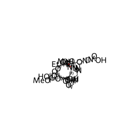 CC[C@H]1OC(=O)[C@H](C)[C@@H](O[C@H]2C[C@@](C)(OC)[C@@H](O)[C@H](C)O2)[C@H](C)[C@@H](O[C@@H]2O[C@H](C)C[C@H](N(C)CCc3cn([C@H](CF)[C@H](OC)c4ccc(N5CCN(C(=O)CO)CC5)cc4)nn3)[C@H]2O)[C@](C)(O)C[C@@H](C)CN(C)[C@H](C)[C@@H](O)[C@]1(C)O